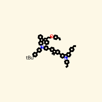 C=Cc1ccc(OCCCCC2(c3ccccc3)c3ccccc3-c3ccc(N(c4ccc(-c5ccc(C(C)(C)C)cc5)cc4)c4ccc(-c5ccc6c(c5)C(C)(C)c5cc(-c7ccc8c(c7)c7cc(-c9ccc(C=C)cc9)ccc7n8-c7ccc(C=C)cc7)ccc5-6)cc4)cc32)cc1